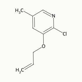 C=CCOc1cc(C)cnc1Cl